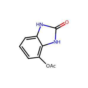 CC(=O)Oc1cccc2[nH]c(=O)[nH]c12